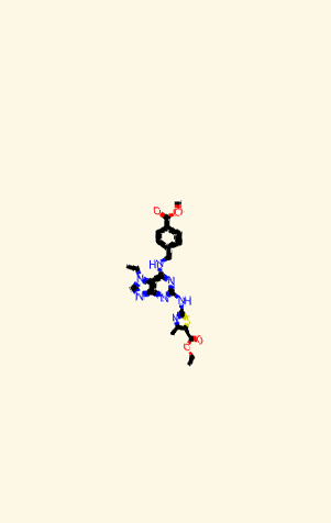 CCOC(=O)c1sc(Nc2nc(NCc3ccc(C(=O)OC)cc3)c3c(ncn3CC)n2)nc1C